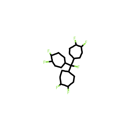 FC1CCC(C(F)(C2CCC(F)C(F)CC2)C2CCC(F)C(F)CC2)CCC1F